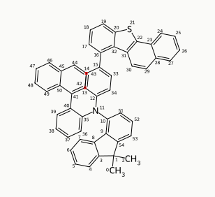 CC1(C)c2ccccc2-c2c(N(c3ccc(-c4cccc5sc6c7ccccc7ccc6c45)cc3)c3ccccc3-c3cccc4ccccc34)cccc21